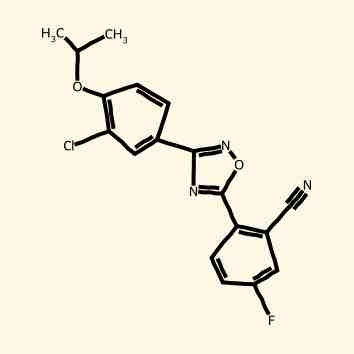 CC(C)Oc1ccc(-c2noc(-c3ccc(F)cc3C#N)n2)cc1Cl